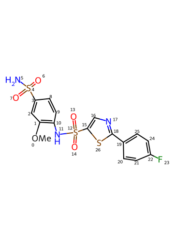 COc1cc(S(N)(=O)=O)ccc1NS(=O)(=O)c1cnc(-c2ccc(F)cc2)s1